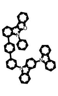 c1ccc(-n2c3oc4ccccc4c3c3cccc(-c4ccc(-c5cccc(-n6c7ccccc7c7cc(-n8c9ccccc9c9ccccc98)ccc76)c5)cc4)c32)cc1